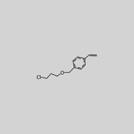 C=Cc1ccc(COCCCCl)cc1